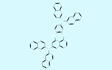 c1ccc2cc(N(c3ccc4c(c3)Oc3cccc5cc(N(c6ccc7ccccc7c6)c6ccc7ccccc7c6)cc(c35)O4)c3ccc4ccccc4c3)ccc2c1